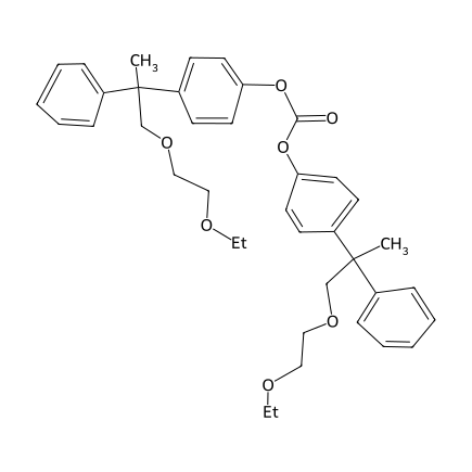 CCOCCOCC(C)(c1ccccc1)c1ccc(OC(=O)Oc2ccc(C(C)(COCCOCC)c3ccccc3)cc2)cc1